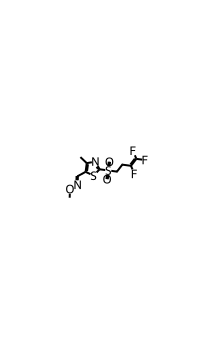 CO/N=C/c1sc(S(=O)(=O)CCC(F)=C(F)F)nc1C